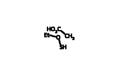 CC(=O)O.CCOS